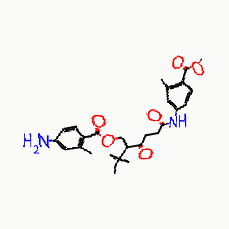 COC(=O)c1ccc(NC(=O)CCC(=O)C(COC(=O)c2ccc(N)cc2C)C(C)(C)C)cc1C